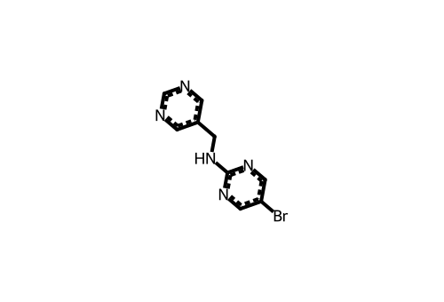 Brc1cnc(NCc2cncnc2)nc1